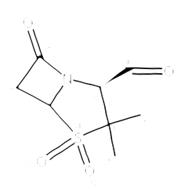 CC1(C)[C@H](C=O)N2C(=O)CC2S1(=O)=O